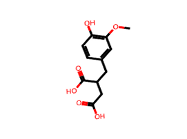 COc1cc(CC(CC(=O)O)C(=O)O)ccc1O